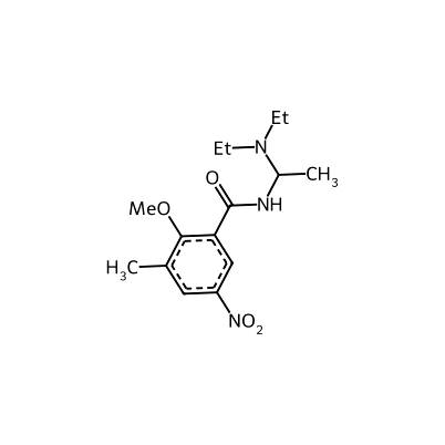 CCN(CC)C(C)NC(=O)c1cc([N+](=O)[O-])cc(C)c1OC